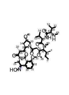 CC[C@H](C)[C@@H]([C@H](CC(=O)N1C[C@H](OC)C[C@@H]1[C@H](OC)[C@@H](C)C(=O)N[C@H](C)/C(=N\O)c1cccc(OC)c1)OC)N(C)C(=O)[C@@H](NC(=O)[C@@H](NC)C(C)C)C(C)C